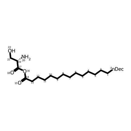 CCCCCCCCCCCCCCCCCCCCCCCC(=O)OC(=O)[C@@H](N)CO